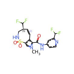 Cn1cc2c(c1C(=O)Nc1ccnc(C(F)F)c1)/C=C\[C@H](C(F)F)CNS2(=O)=O